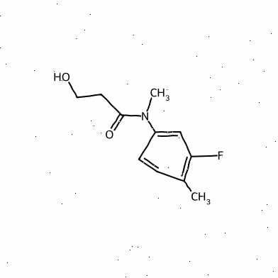 Cc1ccc(N(C)C(=O)CCO)cc1F